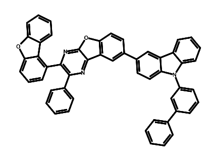 c1ccc(-c2cccc(-n3c4ccccc4c4cc(-c5ccc6oc7nc(-c8cccc9oc%10ccccc%10c89)c(-c8ccccc8)nc7c6c5)ccc43)c2)cc1